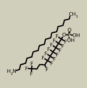 CCCCCCCCCCCCCCCCCCN.O=P(O)(O)OC(F)(F)C(F)(F)C(F)(F)C(F)(F)C(F)(F)C(F)(F)C(F)CCC(F)(F)F